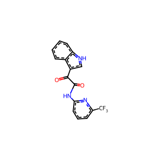 O=C(Nc1cccc(C(F)(F)F)n1)C(=O)c1c[nH]c2ccccc12